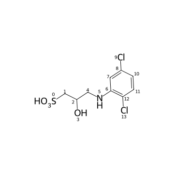 O=S(=O)(O)CC(O)CNc1cc(Cl)ccc1Cl